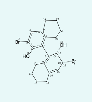 Oc1c(Br)cc2c(c1C1=C3CCCCC3=C[C@@H](Br)[C@H]1O)CCCC2